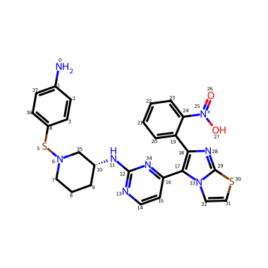 Nc1ccc(SN2CCC[C@@H](Nc3nccc(-c4c(-c5ccccc5[N+](=O)O)nc5sccn45)n3)C2)cc1